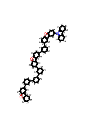 c1cc(-c2cccc(-c3ccc4oc5ccccc5c4c3)c2)cc(-c2cccc(-c3ccc4oc5ccc(-c6cccc(-c7ccc8oc9ccc(-n%10c%11ccccc%11c%11ccccc%11%10)cc9c8c7)c6)cc5c4c3)c2)c1